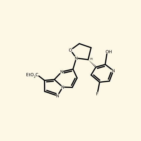 CCOC(=O)c1cnn2ccc(N3OCC[C@@H]3c3cc(F)cnc3O)nc12